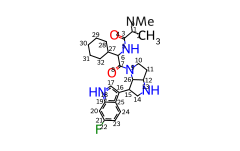 CNC(C)C(=O)NC(C(=O)N1CCC2NCC(c3c[nH]c4cc(F)ccc34)C21)C1CCCCC1